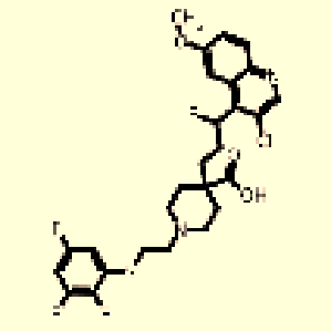 COc1ccc2ncc(Cl)c(C(F)CCC3(C(=O)O)CCN(CCSc4cc(F)cc(F)c4F)CC3)c2c1